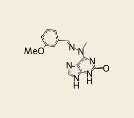 COc1cccc(/C=N/N(C)c2nc(=O)[nH]c3[nH]cnc23)c1